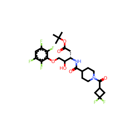 CC(C)(C)OC(=O)C[C@H](NC(=O)C1CCN(C(=O)C2CC(F)(F)C2)CC1)C(O)COc1c(F)c(F)cc(F)c1F